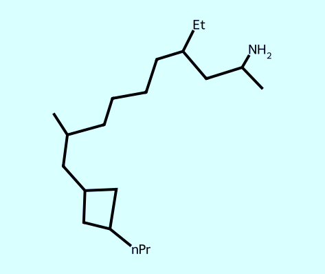 CCCC1CC(CC(C)CCCCC(CC)CC(C)N)C1